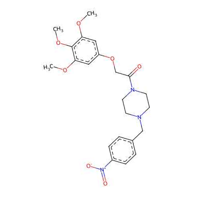 COc1cc(OCC(=O)N2CCN(Cc3ccc([N+](=O)[O-])cc3)CC2)cc(OC)c1OC